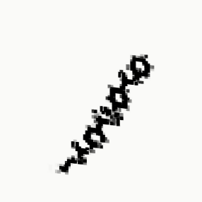 O=C(NCCO)Oc1ccc(C(=O)NS(=O)(=O)c2ccc(C(=O)NC3CCCCC3)cc2)cn1